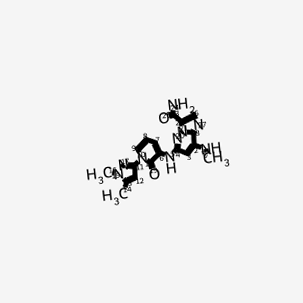 CNc1cc(Nc2cccn(-c3cc(C)n(C)n3)c2=O)nn2c(C(N)=O)cnc12